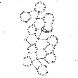 c1ccc2c(c1)-c1ccccc1C21c2ccc3c4c2-n2c5c1cccc5c1ccc[n+](c12)[N+]41c2cccc4c5cccc6c5n(c24)-c2c(ccc([n+]21)O3)[Si]61c2ccccc2-c2ccccc21